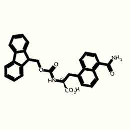 NC(=O)c1cccc2c(C[C@H](NC(=O)OCC3c4ccccc4-c4ccccc43)C(=O)O)cccc12